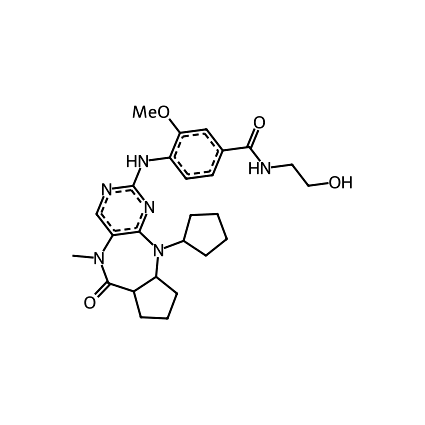 COc1cc(C(=O)NCCO)ccc1Nc1ncc2c(n1)N(C1CCCC1)C1CCCC1C(=O)N2C